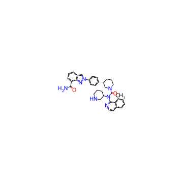 Cc1cccc2ccnc(N(C(=O)N3CCC[C@@H](c4ccc(-n5cc6cccc(C(N)=O)c6n5)cc4)C3)[C@@H]3CCCNC3)c12